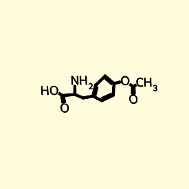 CC(=O)Oc1ccc(CC(N)C(=O)O)cc1